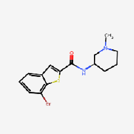 CN1CCC[C@@H](NC(=O)c2cc3cccc(Br)c3s2)C1